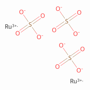 O=S(=O)([O-])[O-].O=S(=O)([O-])[O-].O=S(=O)([O-])[O-].[Ru+3].[Ru+3]